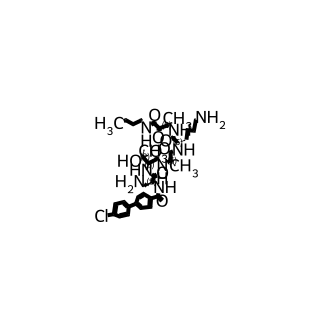 CCCCNC(=O)C(=O)[C@H](C)NC(=O)[C@H](CCCCN)NC(=O)[C@H](C)NC(=O)[C@@H](NC(=O)[C@H](CN)NC(=O)c1ccc(-c2ccc(Cl)cc2)cc1)[C@@H](C)O